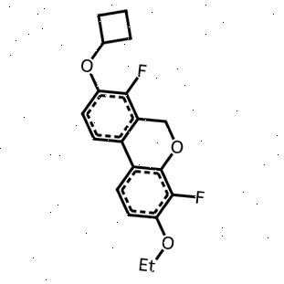 CCOc1ccc2c(c1F)OCc1c-2ccc(OC2CCC2)c1F